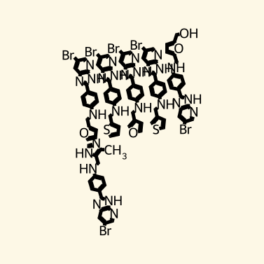 Brc1cnc2[nH]c(-c3ccc(NCc4ccco4)cc3)nc2c1.Brc1cnc2[nH]c(-c3ccc(NCc4cccs4)cc3)nc2c1.Brc1cnc2[nH]c(-c3ccc(NCc4ccoc4)cc3)nc2c1.Brc1cnc2[nH]c(-c3ccc(NCc4ccsc4)cc3)nc2c1.Cc1nc[nH]c1CNc1ccc(-c2nc3cc(Br)cnc3[nH]2)cc1.OCc1ccc(CNc2ccc(-c3nc4cc(Br)cnc4[nH]3)cc2)o1